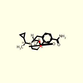 C[C@@H](C1CC1)N1CC[C@]23CC(=O)CC[C@H]2[C@H]1Cc1ccc(C(N)=O)cc13